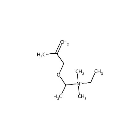 C=C(C)COC(C)[N+](C)(C)CC